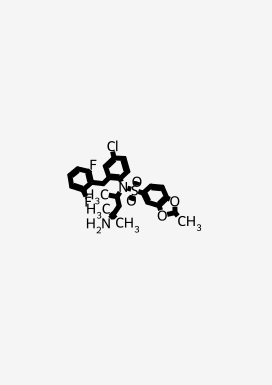 CC1Oc2ccc(S(=O)(=O)N(c3ccc(Cl)cc3Cc3c(F)cccc3F)C(C)CC(C)(C)N)cc2O1